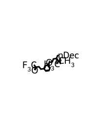 CCCCCCCCCCCC(CCOc1cccc(CCC(=O)C(F)(F)F)c1)N(C)C